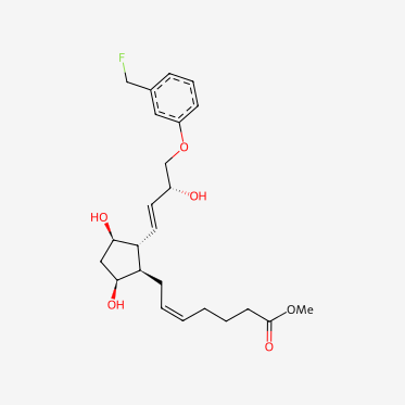 COC(=O)CCC/C=C\C[C@@H]1[C@@H](/C=C/[C@@H](O)COc2cccc(CF)c2)[C@H](O)C[C@@H]1O